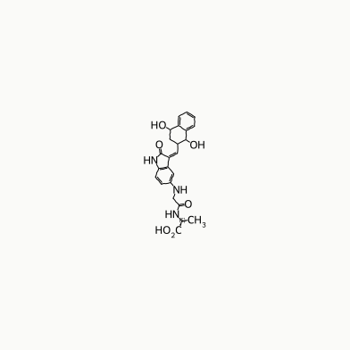 C[C@H](NC(=O)CNc1ccc2c(c1)C(=CC1CC(O)c3ccccc3C1O)C(=O)N2)C(=O)O